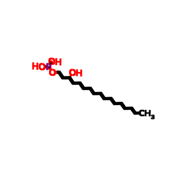 CCCCCCCCCCCCCC[C@@H](O)CCOP(O)O